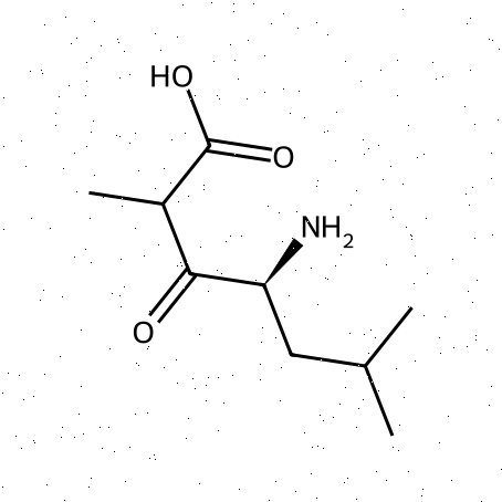 CC(C)C[C@H](N)C(=O)C(C)C(=O)O